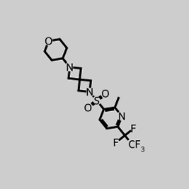 Cc1nc(C(F)(F)C(F)(F)F)ccc1S(=O)(=O)N1CC2(CN(C3CCOCC3)C2)C1